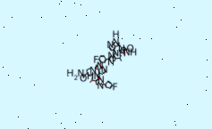 CC(C)c1cnc(-c2ccc(F)c(-n3cc(N4CCC(C(N)=O)CC4)c4c(Nc5nc(-c6ccc(F)cc6)ncc5C(C)C)ccnc43)c2)nc1Nc1ccnc2[nH]cc(N3CCNC(=O)C3)c12